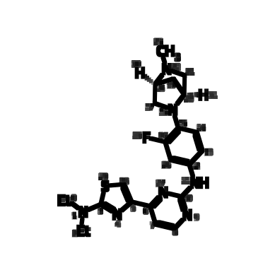 CCN(CC)c1nc(-c2ccnc(Nc3ccc(N4C[C@@H]5C[C@H]4CN5C)c(F)c3)n2)cs1